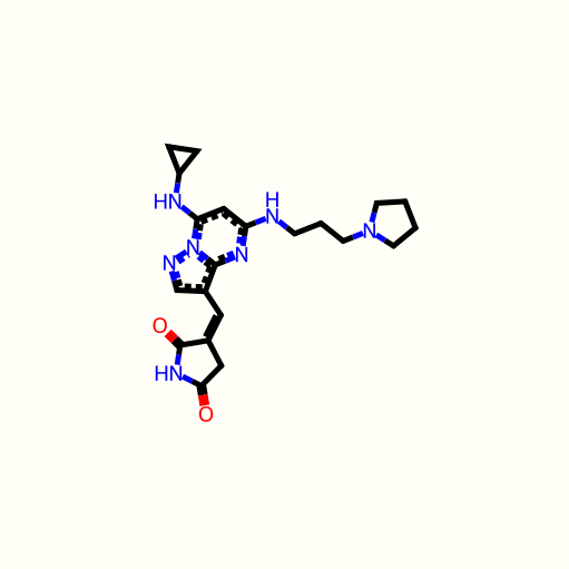 O=C1CC(=Cc2cnn3c(NC4CC4)cc(NCCCN4CCCC4)nc23)C(=O)N1